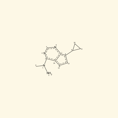 CN(N)c1ncnc2c(C3CC3)csc12